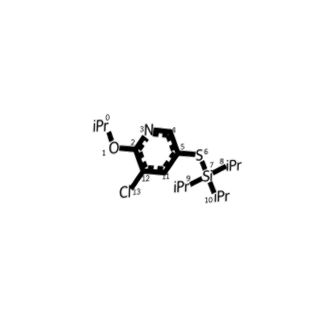 CC(C)Oc1ncc(S[Si](C(C)C)(C(C)C)C(C)C)cc1Cl